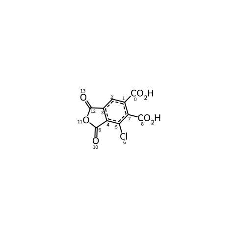 O=C(O)c1cc2c(c(Cl)c1C(=O)O)C(=O)OC2=O